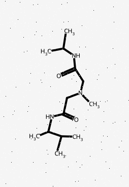 CC(C)NC(=O)CN(C)CC(=O)NC(C)C(C)C